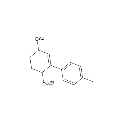 CCOC(=O)C1CCC(OC(C)=O)C=C1c1ccc(C)cc1